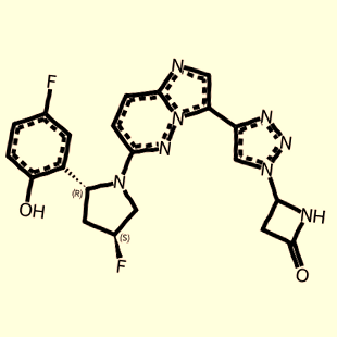 O=C1CC(n2cc(-c3cnc4ccc(N5C[C@@H](F)C[C@@H]5c5cc(F)ccc5O)nn34)nn2)N1